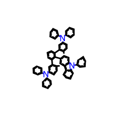 Cc1ccc(N(c2ccccc2)c2ccccc2)cc1-c1cccc(-c2cc(N(c3ccccc3)c3ccccc3)ccc2C)c1-c1ccc2c(c1)c1ccccc1n2-c1ccccc1